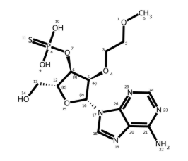 COCCO[C@@H]1[C@H](OP(O)(O)=S)[C@@H](CO)O[C@H]1n1cnc2c(N)ncnc21